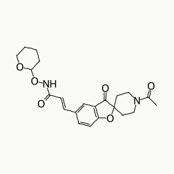 CC(=O)N1CCC2(CC1)Oc1ccc(C=CC(=O)NOC3CCCCO3)cc1C2=O